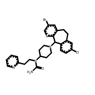 NC(=O)N(CCc1ccccn1)C1CCN(C2c3ccc(Cl)cc3CCc3cc(Br)cnc32)CC1